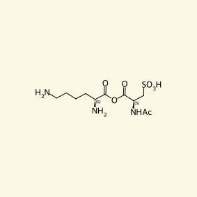 CC(=O)N[C@H](CS(=O)(=O)O)C(=O)OC(=O)[C@@H](N)CCCCN